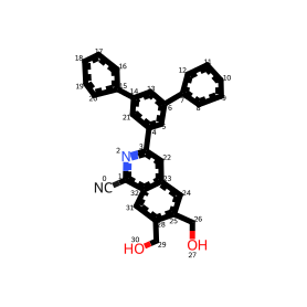 N#Cc1nc(-c2cc(-c3ccccc3)cc(-c3ccccc3)c2)cc2cc(CO)c(CO)cc12